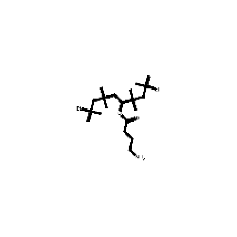 CCC(C)(C)CC(C)(C)CC(OC(=O)CCCN)C(C)(C)CC(C)(C)CC